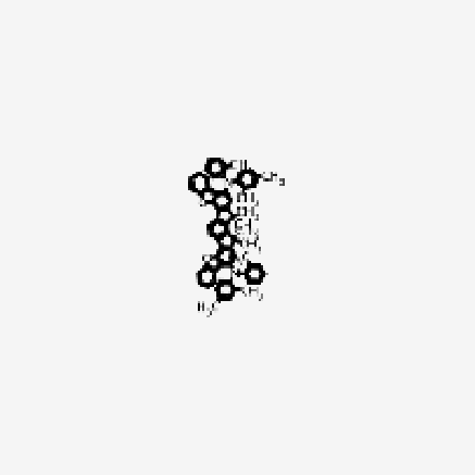 Cc1ccc(N(c2ccccc2C)c2cc3c(c4oc5c(c24)CCC=C5)-c2ccc4c(c2C3(C)C)C(C)(C)c2cc(N(c3ccccc3C)c3ccc(C)cc3C)c3c(oc5ccccc53)c2-4)c(C)c1